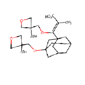 CCCCC1(COC(=C(C)C(=O)O)C23CC4CC(CC(OCC5(CCCC)COC5)(C4)C2)C3)COC1